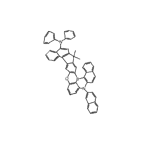 CC1(C)c2cc3c(cc2-c2c1cc(N(c1ccccc1)c1ccccc1)c1ccccc21)Oc1cccc2c1B3c1c(ccc3ccccc13)N2c1ccc2ccccc2c1